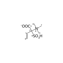 C=CC(C(=O)[O-])([N+](C)(C)C)S(=O)(=O)O